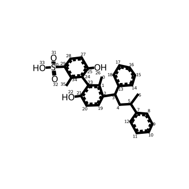 Cc1c(C(CC(C)c2ccccc2)c2ccccc2)ccc(O)c1-c1c(O)ccc(S(=O)(=O)O)c1C